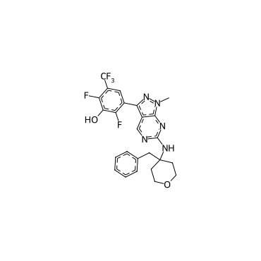 Cn1nc(-c2cc(C(F)(F)F)c(F)c(O)c2F)c2cnc(NC3(Cc4ccccc4)CCOCC3)nc21